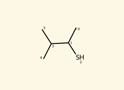 [CH2]C(S)C(C)C